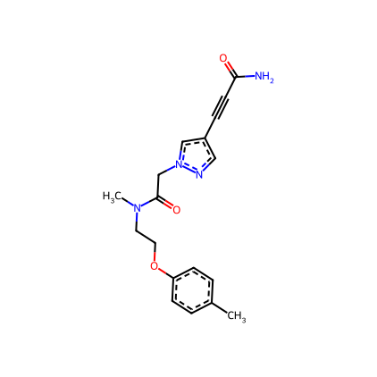 Cc1ccc(OCCN(C)C(=O)Cn2cc(C#CC(N)=O)cn2)cc1